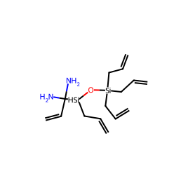 C=CC[SiH](O[Si](CC=C)(CC=C)CC=C)C(N)(N)C=C